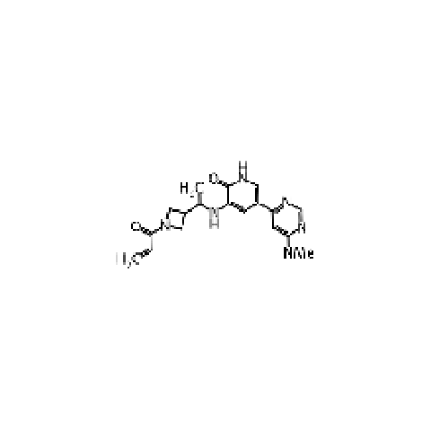 C=CC(=O)N1CC(C(C)Nc2cc(-c3cc(NC)ncn3)c[nH]c2=O)C1